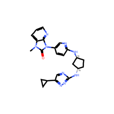 Cn1c(=O)n(-c2ccc(N[C@H]3CC[C@H](Nc4ncc(C5CC5)nn4)C3)nc2)c2ncccc21